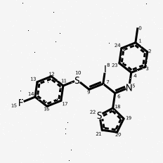 Cc1ccc(N=C(C(I)=CSc2ccc(F)cc2)c2cccs2)cc1